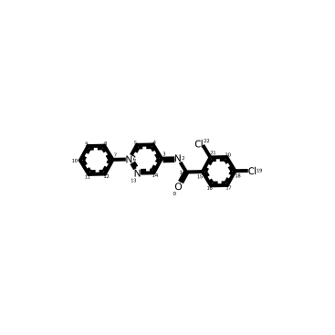 O=C(N=c1ccn(-c2ccccc2)nc1)c1ccc(Cl)cc1Cl